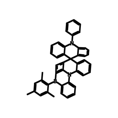 Cc1cc(C)c(B2c3ccccc3N3c4ccccc4C4(c5ccccc5N(c5ccccc5)c5ccccc54)c4cccc2c43)c(C)c1